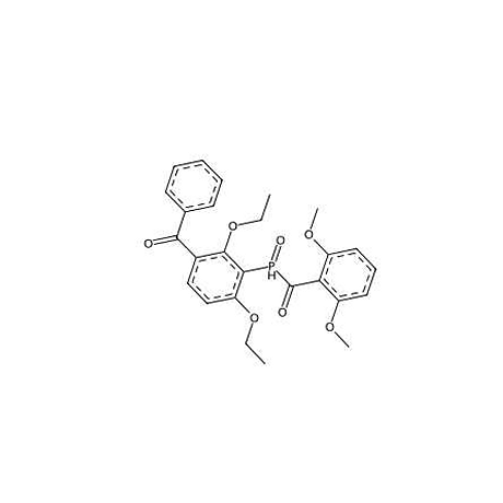 CCOc1ccc(C(=O)c2ccccc2)c(OCC)c1[PH](=O)C(=O)c1c(OC)cccc1OC